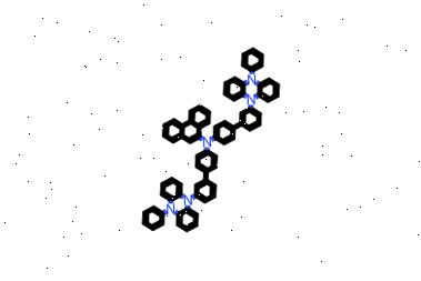 c1ccc(N2c3ccccc3N(c3cccc(-c4ccc(N(c5ccc(-c6cccc(N7c8ccccc8N(c8ccccc8)c8ccccc87)c6)cc5)c5cc6ccccc6c6ccccc56)cc4)c3)c3ccccc32)cc1